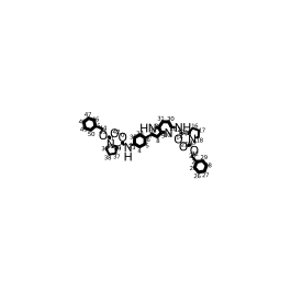 O=C(Nc1ccc(-c2cc3nc(NC(=O)[C@@H]4CCCN4C(=O)OCc4ccccc4)ccc3[nH]2)cc1)[C@@H]1CCCN1C(=O)OCc1ccccc1